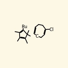 CC1=C(C)C(C)(C)[C]([Ru])=C1C.ClC1=CCCC=CCC1